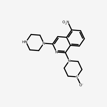 O=[N+]([O-])c1cccc2c(N3CC[S+]([O-])CC3)nc(N3CCNCC3)cc12